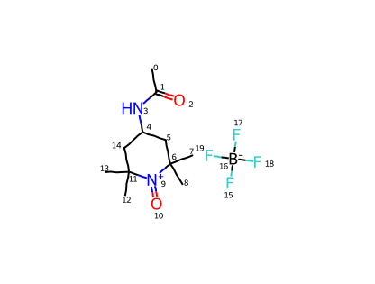 CC(=O)NC1CC(C)(C)[N+](=O)C(C)(C)C1.F[B-](F)(F)F